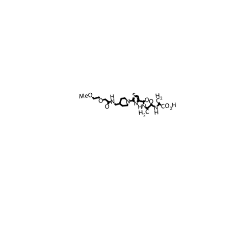 C=C(NC(=O)C(=C)NC(=O)c1csc(N2CCC(CNC(=O)COCCOC)CC2)n1)C(=O)O